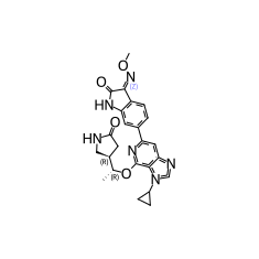 CO/N=C1\C(=O)Nc2cc(-c3cc4ncn(C5CC5)c4c(O[C@H](C)[C@H]4CNC(=O)C4)n3)ccc21